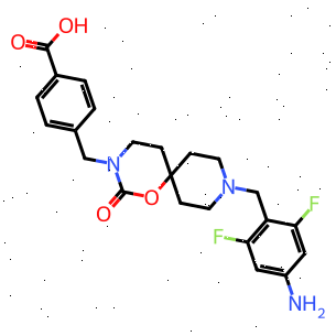 Nc1cc(F)c(CN2CCC3(CC2)CCN(Cc2ccc(C(=O)O)cc2)C(=O)O3)c(F)c1